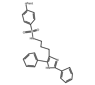 CCCCCc1ccc(S(=O)(=O)NCCCc2nc(-c3ccccc3)[nH]c2-c2ccccc2)cc1